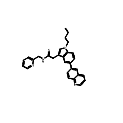 CCCCn1cc(CC(=O)NCc2ccccn2)c2cc(-c3ccc4ncccc4c3)ccc21